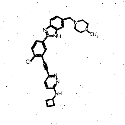 CN1CCN(Cc2ccc3nc(-c4ccc(Cl)c(C#Cc5ccc(NC6CCC6)nn5)c4)[nH]c3c2)CC1